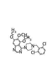 COc1cc2ncnc(N3CCN(Cc4c(Cl)cccc4Cl)CC3)c2c(OC)c1OC